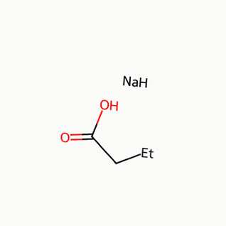 CCCC(=O)O.[NaH]